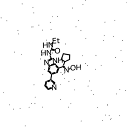 CCNC(=O)Nc1nc2cc(-c3cccnc3)cc(/C(=N/O)C3CCCC3)c2[nH]1